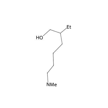 CCC(CO)CCCCNC